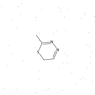 CC1=NN=CCS1